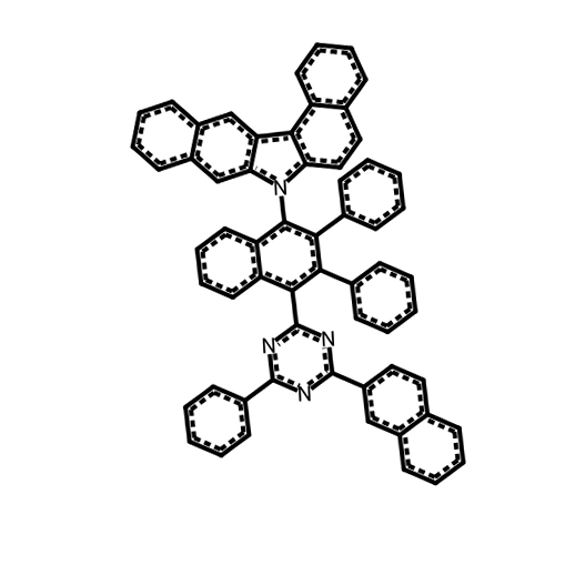 c1ccc(-c2nc(-c3ccc4ccccc4c3)nc(-c3c(-c4ccccc4)c(-c4ccccc4)c(-n4c5cc6ccccc6cc5c5c6ccccc6ccc54)c4ccccc34)n2)cc1